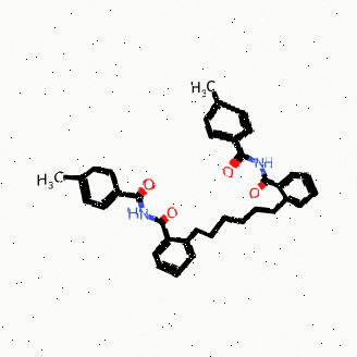 Cc1ccc(C(=O)NC(=O)c2ccccc2CCCCCCc2ccccc2C(=O)NC(=O)c2ccc(C)cc2)cc1